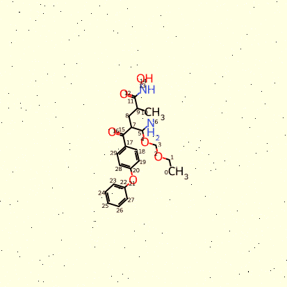 CCOCOC(N)C(CC(C)C(=O)NO)C(=O)c1ccc(Oc2ccccc2)cc1